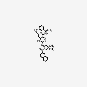 CCCCC(NC(=O)ON1CC(C)(C)CC1C(=O)c1cnc2ccccc2c1)C(=O)C(=O)N[C@H](C)c1ccccc1